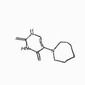 C=C1NC=C(N2CCCCC2)C(=C)N1